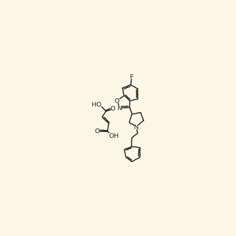 Fc1ccc2c(C3CCN(CCc4ccccc4)C3)noc2c1.O=C(O)C=CC(=O)O